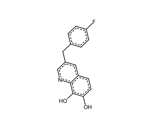 Oc1ccc2cc(Cc3ccc(F)cc3)cnc2c1O